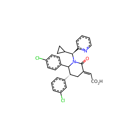 O=C(O)/C=C1\C[C@H](c2cccc(Cl)c2)C(c2ccc(Cl)cc2)N([C@H](c2ccccn2)C2CC2)C1=O